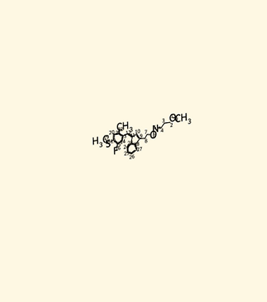 COCCC=NOCCC1=C/C(=C/c2cc(F)c(SC)cc2C)c2ccccc21